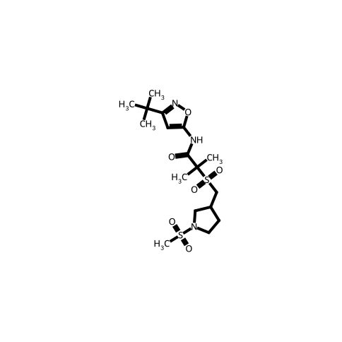 CC(C)(C)c1cc(NC(=O)C(C)(C)S(=O)(=O)CC2CCN(S(C)(=O)=O)C2)on1